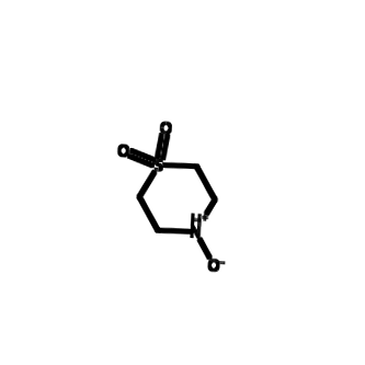 O=S1(=O)CC[NH+]([O-])CC1